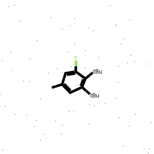 Cc1cc(F)c(C(C)(C)C)c(C(C)(C)C)c1